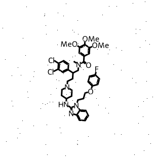 COc1cc(C(=O)N(C)CC(CCN2CCC(Nc3nc4ccccc4n3CCCOc3ccc(F)cc3)CC2)c2ccc(Cl)c(Cl)c2)cc(OC)c1OC